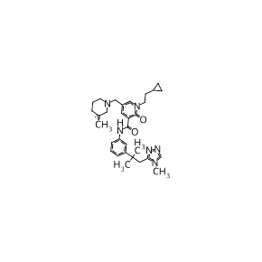 C[C@H]1CCCN(Cc2cc(C(=O)Nc3cccc(C(C)(C)Cc4nncn4C)c3)c(=O)n(CCC3CC3)c2)C1